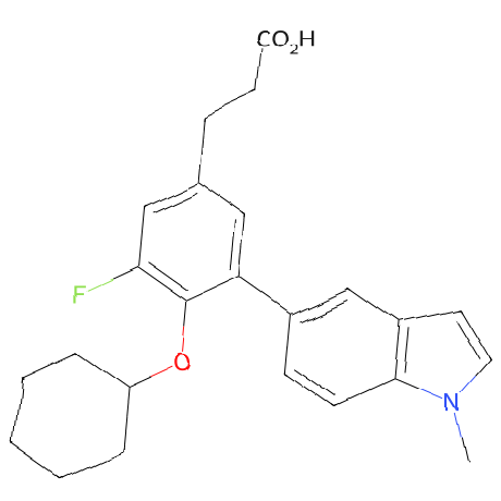 Cn1ccc2cc(-c3cc(CCC(=O)O)cc(F)c3OC3CCCCC3)ccc21